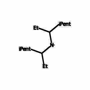 CCCC(C)C(CC)[N]C(CC)C(C)CCC